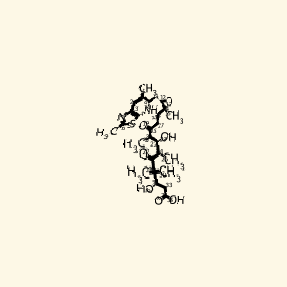 CC(=Cc1csc(C)n1)[C@@H](N)C[C@@H]1O[C@]1(C)CCC(=O)[C@H](C)[C@H](O)[C@@H](C)C(=O)C(C)(C)[C@@H](O)CC(=O)O